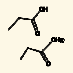 CCC(=O)O.CCC(=O)O.[K]